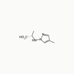 Cc1cnn(N[C@@H](C)C(=O)O)c1